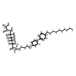 CCCCCCCCCCc1cnc(-c2ccc(OCCCC[Si](C)(C)C(F)C(F)(F)C(F)(F)C(F)(F)C(F)(F)C(F)C(F)C(F)F)cc2)nc1